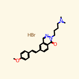 Br.COc1ccc(C=Cc2ccc3c(=O)n(CCCCN(C)C)ncc3c2)cc1